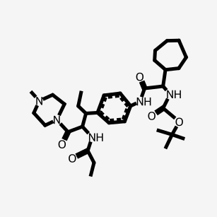 CCC(=O)NC(C(=O)N1CCN(C)CC1)C(CC)c1ccc(NC(=O)C(NC(=O)OC(C)(C)C)C2CCCCCC2)cc1